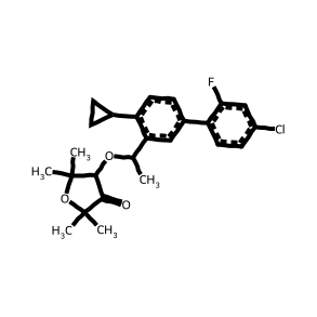 CC(OC1C(=O)C(C)(C)OC1(C)C)c1cc(-c2ccc(Cl)cc2F)ccc1C1CC1